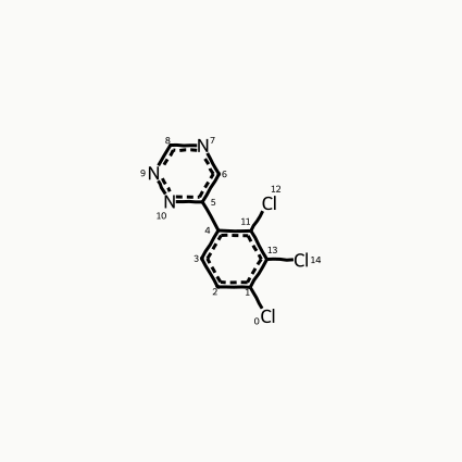 Clc1ccc(-c2cncnn2)c(Cl)c1Cl